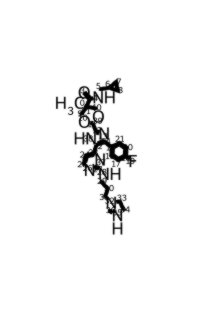 CC1(C(=O)NCC2CC2)COC(c2nc(-c3ccc(F)cc3)c(-c3ccnc(NCCCN4CCNC4)n3)[nH]2)OC1